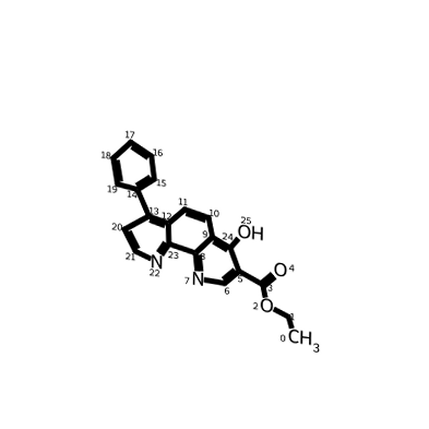 CCOC(=O)c1cnc2c(ccc3c(-c4ccccc4)ccnc32)c1O